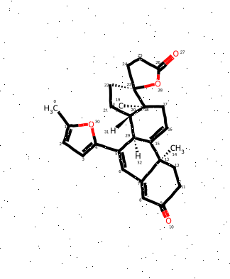 Cc1ccc(C2=CC3=CC(=O)CC[C@]3(C)C3=CC[C@@]4(C)[C@@H](CC[C@@]45CCC(=O)O5)[C@H]23)o1